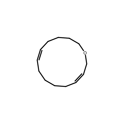 C1=CCCCCOCC=CCCCC1